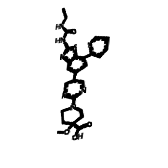 CCNC(=O)Nc1nc2cc(-c3cnc(N4CCC(OC)(C(=O)O)CC4)nc3)cc(-c3ccccn3)c2s1